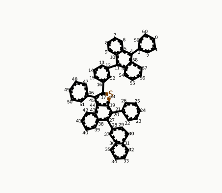 c1ccc(-c2c3ccccc3c(-c3cccc(-c4sc5c(-c6ccccc6)c(-c6ccc7ccccc7c6)c6ccccc6c5c4-c4ccccc4)c3)c3ccccc23)cc1